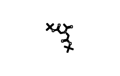 CC(=O)N(CC(=O)OC(C)(C)C)CC(=O)OC(C)(C)C